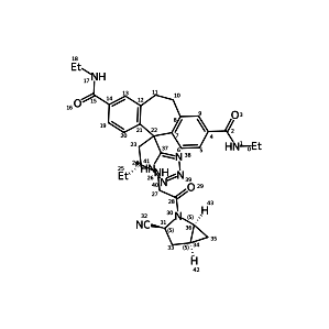 CCNC(=O)c1ccc2c(c1)CCc1cc(C(=O)NCC)ccc1C2(C[C@@H](CC)NCC(=O)N1[C@H](C#N)C[C@@H]2C[C@@H]21)c1nnn[nH]1